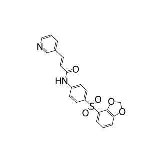 O=C(C=Cc1cccnc1)Nc1ccc(S(=O)(=O)c2cccc3c2OCO3)cc1